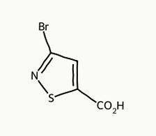 O=C(O)c1cc(Br)ns1